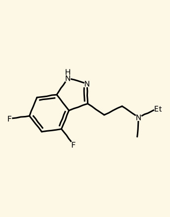 CCN(C)CCc1n[nH]c2cc(F)cc(F)c12